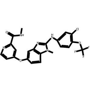 CNC(=O)c1cc(Oc2ccc3c(c2)nc(Nc2ccc(OC(F)(F)F)c(Cl)c2)n3C)ccn1